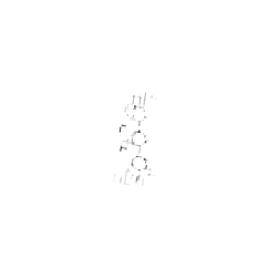 CCCCc1ccc(-c2ccc(C3CCC(CCC)OC3)c(F)c2F)cc1F